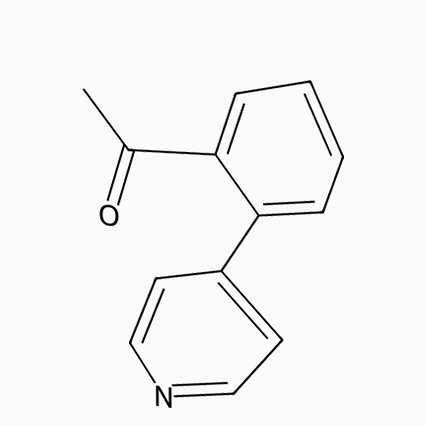 CC(=O)c1ccccc1-c1ccncc1